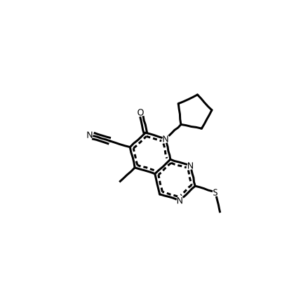 CSc1ncc2c(C)c(C#N)c(=O)n(C3CCCC3)c2n1